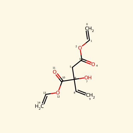 C=COC(=O)CC(O)(C=C)C(=O)OC=C